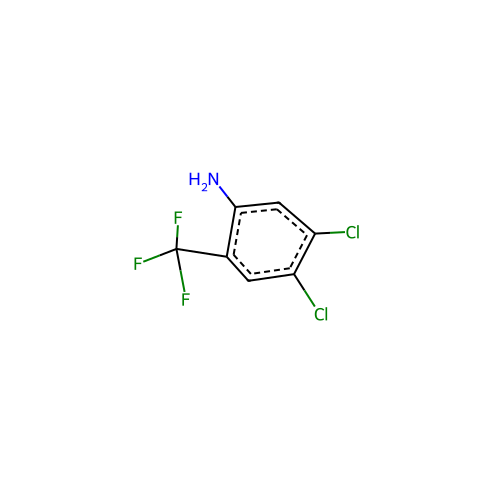 Nc1cc(Cl)c(Cl)cc1C(F)(F)F